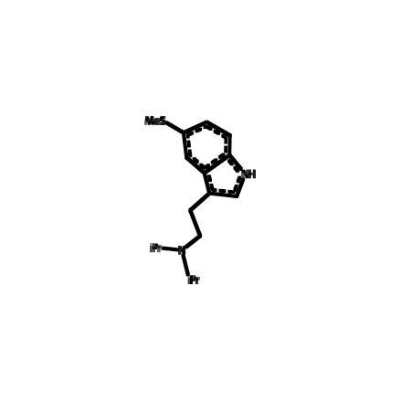 CSc1ccc2[nH]cc(CCN(C(C)C)C(C)C)c2c1